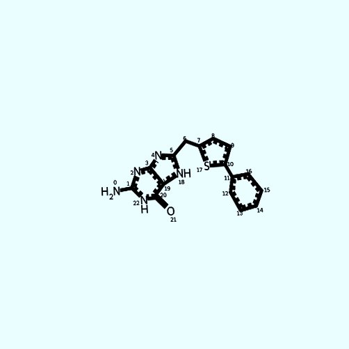 Nc1nc2nc(Cc3ccc(-c4ccccc4)s3)[nH]c2c(=O)[nH]1